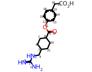 N=C(N)NCC1CCC(C(=O)Oc2ccc(CC(=O)O)cc2)CC1